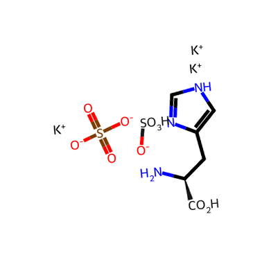 N[C@@H](Cc1c[nH]cn1)C(=O)O.O=S(=O)([O-])O.O=S(=O)([O-])[O-].[K+].[K+].[K+]